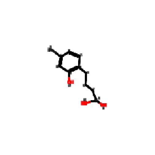 CC(C)c1ccc(CCCB(O)O)c(O)c1